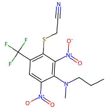 CCCN(C)c1c([N+](=O)[O-])cc(C(F)(F)F)c(SCC#N)c1[N+](=O)[O-]